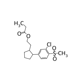 CCC(=O)OCCC1CCCC1c1ccc(S(C)(=O)=O)c(Cl)c1